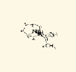 CC(O)N1CC2CCC(C1)N2C